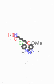 CCN(c1ccc(Cl)cc1)c1ncnc2cc(OC)c(OCCCCCCC(=O)NO)cc12